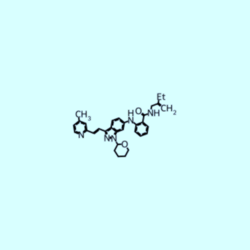 C=C(CC)CNC(=O)c1ccccc1Nc1ccc2c(C=Cc3cc(C)ccn3)nn(C3CCCCO3)c2c1